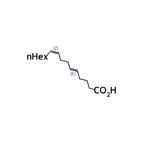 CCCCCC/C=C\CC/C=C/CCCC(=O)O